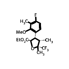 CCOC(=O)[C@H]1O[C@@](C)(C(F)(F)F)[C@@H](C)[C@H]1c1ccc(F)c(C)c1OC